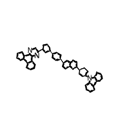 C1=CC(c2ccc3cc(-c4ccc(-c5cccc(-c6cnc7c8ccccc8c8ccccc8c7n6)c5)cc4)ccc3c2)CC=C1n1c2ccccc2c2ccccc21